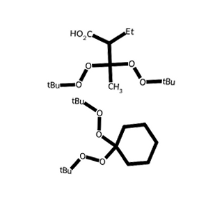 CC(C)(C)OOC1(OOC(C)(C)C)CCCCC1.CCC(C(=O)O)C(C)(OOC(C)(C)C)OOC(C)(C)C